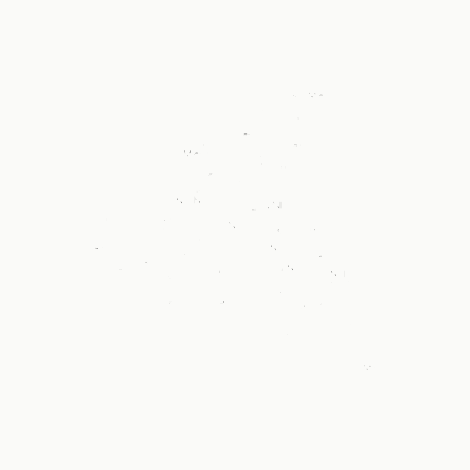 COc1ccc(Cn2nc(Nc3nc4c(-c5ccccc5)c(-c5ccccc5)nn4c(OC)c3-c3ccc(OC)cc3)cc2N)cc1